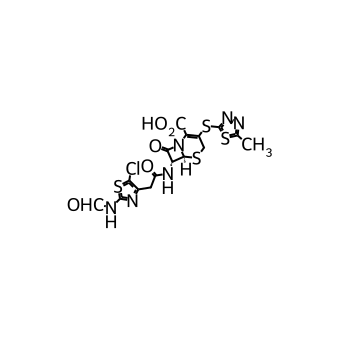 Cc1nnc(SC2=C(C(=O)O)N3C(=O)[C@@H](NC(=O)Cc4nc(NC=O)sc4Cl)[C@@H]3SC2)s1